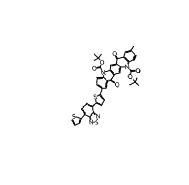 Cc1ccc2c(c1)c(=O)c1cc3c(cc1n2C(=O)OC(C)(C)C)c(=O)c1cc(-c2ccc(-c4ccc(-c5cccs5)c5nsnc45)s2)ccc1n3C(=O)OC(C)(C)C